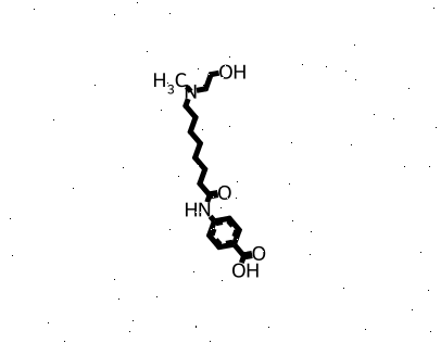 CN(CCO)CCCCCCCC(=O)Nc1ccc(C(=O)O)cc1